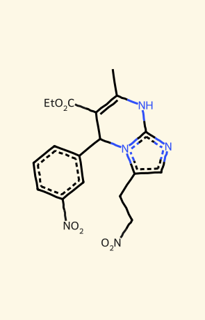 CCOC(=O)C1=C(C)Nc2ncc(CC[N+](=O)[O-])n2C1c1cccc([N+](=O)[O-])c1